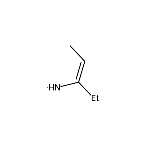 C/C=C(\[NH])CC